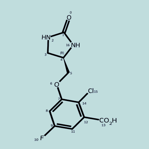 O=C1NC[C@H](COc2cc(F)cc(C(=O)O)c2Cl)N1